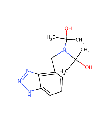 CC(C)(O)N(Cc1cccc2[nH]nnc12)C(C)(C)O